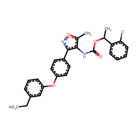 Cc1onc(-c2ccc(Oc3cccc(CC(=O)O)c3)cc2)c1NC(=O)OC(C)c1ccccc1Cl